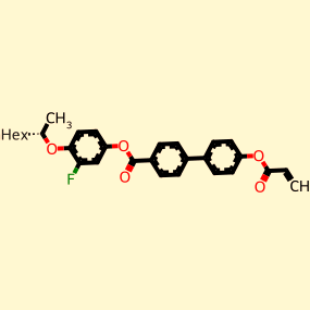 C=CC(=O)Oc1ccc(-c2ccc(C(=O)Oc3ccc(O[C@@H](C)CCCCCC)c(F)c3)cc2)cc1